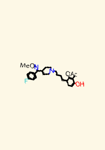 CO/N=C(\c1ccc(F)cc1)C1CCN(CCCCC2CC=C(O)C(C)=C2OC(C)=O)CC1